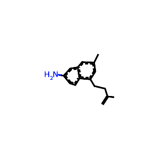 C=C(C)CCc1cc(C)cc2cc(N)ccc12